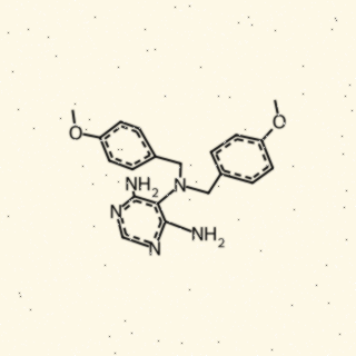 COc1ccc(CN(Cc2ccc(OC)cc2)c2c(N)ncnc2N)cc1